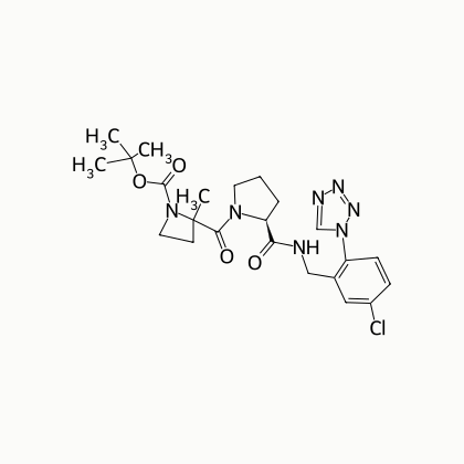 CC(C)(C)OC(=O)N1CCC1(C)C(=O)N1CCC[C@H]1C(=O)NCc1cc(Cl)ccc1-n1cnnn1